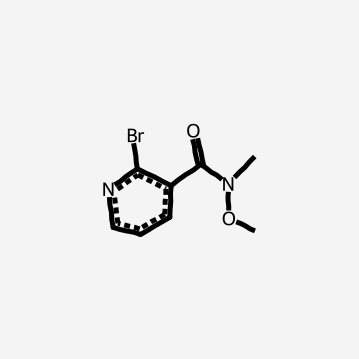 CON(C)C(=O)c1cccnc1Br